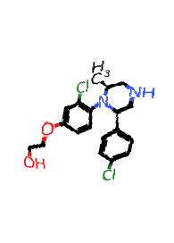 C[C@H]1CNC[C@@H](c2ccc(Cl)cc2)N1c1ccc(OCCO)cc1Cl